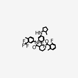 Cc1ccc(NC(=O)C2CCCN(C(=O)c3c(C)cccc3F)C2[C@@H]2C=CC(NC3CCCC3C)=CC2)cc1C(F)(F)F